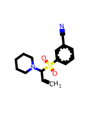 C=CC(N1CCCCC1)S(=O)(=O)c1cccc(C#N)c1